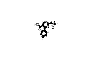 O=C(O)c1cnc(C[SH](=O)=O)nc1-c1ccc(F)cc1